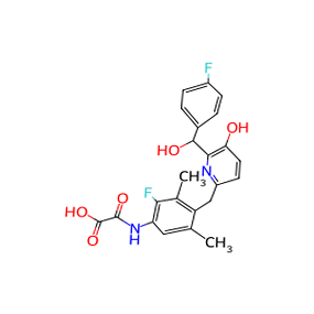 Cc1cc(NC(=O)C(=O)O)c(F)c(C)c1Cc1ccc(O)c(C(O)c2ccc(F)cc2)n1